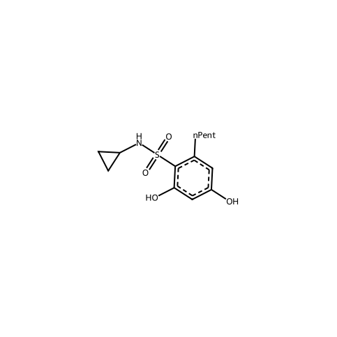 CCCCCc1cc(O)cc(O)c1S(=O)(=O)NC1CC1